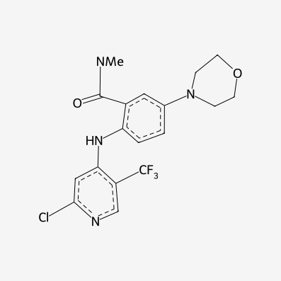 CNC(=O)c1cc(N2CCOCC2)ccc1Nc1cc(Cl)ncc1C(F)(F)F